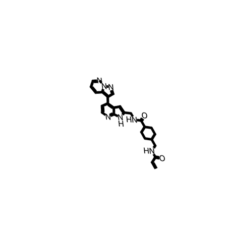 C=CC(=O)NCC1CCC(C(=O)NCc2cc3c(-c4cnn5ncccc45)ccnc3[nH]2)CC1